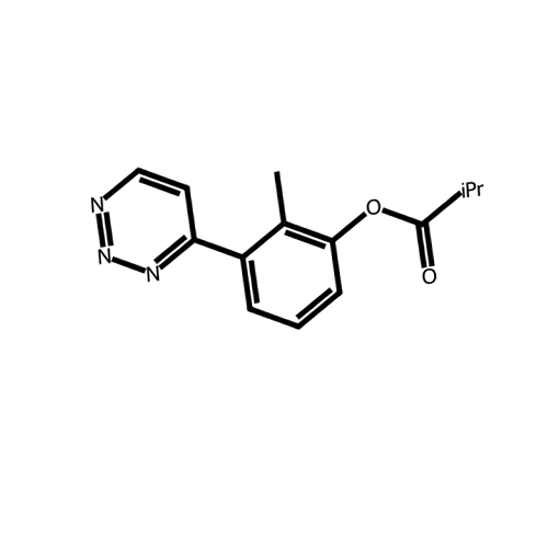 Cc1c(OC(=O)C(C)C)cccc1-c1ccnnn1